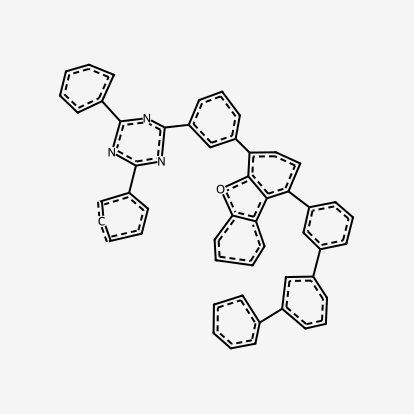 c1ccc(-c2cccc(-c3cccc(-c4ccc(-c5cccc(-c6nc(-c7ccccc7)nc(-c7ccccc7)n6)c5)c5oc6ccccc6c45)c3)c2)cc1